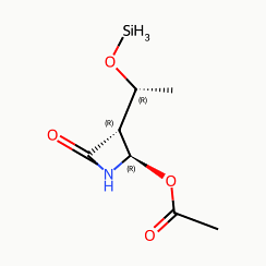 CC(=O)O[C@H]1NC(=O)[C@@H]1[C@@H](C)O[SiH3]